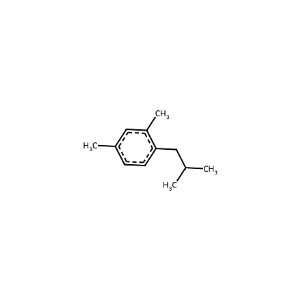 C[C](C)Cc1ccc(C)cc1C